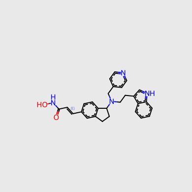 O=C(/C=C/c1ccc2c(c1)CCC2N(CCc1c[nH]c2ccccc12)Cc1ccncc1)NO